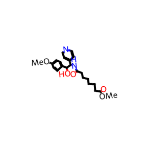 COC(=O)CCCCCCC(=O)NC(c1ccncc1)C(O)c1ccc(OC)cc1